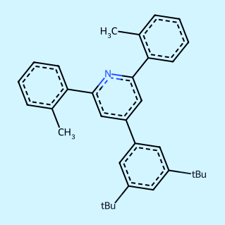 Cc1ccccc1-c1cc(-c2cc(C(C)(C)C)cc(C(C)(C)C)c2)cc(-c2ccccc2C)n1